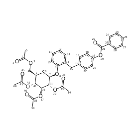 CC(=O)OC[C@H]1S[C@@H](Oc2ccccc2Cc2ccc(OC(=O)c3ccccc3)cc2)[C@H](OC(C)=O)[C@@H](OC(C)=O)[C@@H]1OC(C)=O